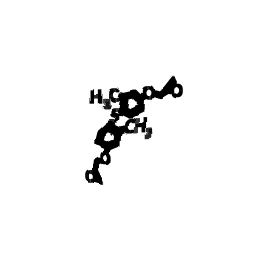 Cc1cc(OCC2CO2)ccc1Sc1ccc(OCC2CO2)cc1C